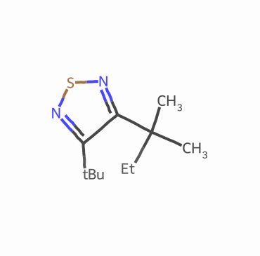 CCC(C)(C)c1nsnc1C(C)(C)C